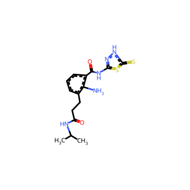 CC(C)NC(=O)CCc1cccc(C(=O)Nc2n[nH]c(=S)s2)c1N